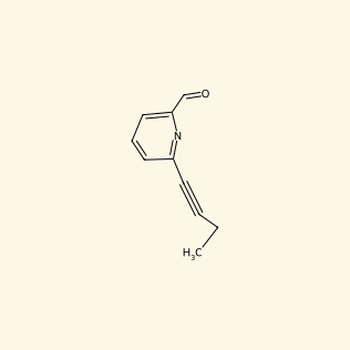 CCC#Cc1cccc(C=O)n1